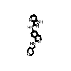 c1cnc2c(Nc3ccc4c(NCC5CCOCC5)nccc4c3)n[nH]c2c1